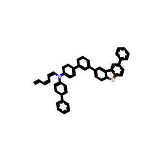 C=C/C=C\C=C/N(C1=CCC(c2ccccc2)C=C1)C1=CC=C(C2=CC(C3=CCC4Sc5ccc(-c6ccccc6)cc5C4=C3)=CCC2)CC1